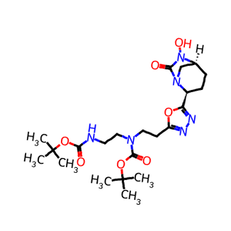 CC(C)(C)OC(=O)NCCN(CCc1nnc([C@@H]2CC[C@H]3CN2C(=O)N3O)o1)C(=O)OC(C)(C)C